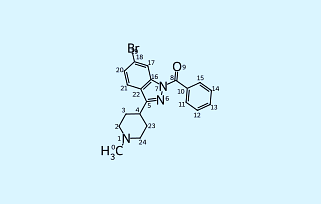 CN1CCC(c2nn(C(=O)c3ccccc3)c3cc(Br)ccc23)CC1